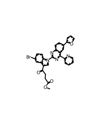 COC(=O)CCC(=O)c1cn(-c2nc(-c3ccccn3)c3cc(-c4ccco4)ccc3n2)c2ccc(Br)cc12